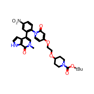 Cn1cc(-c2cc([N+](=O)[O-])ccc2-n2ccc(OCCOC3CCN(C(=O)OC(C)(C)C)CC3)cc2=O)c2cc[nH]c2c1=O